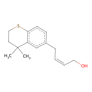 CC1(C)CCSc2ccc(C/C=C\CO)cc21